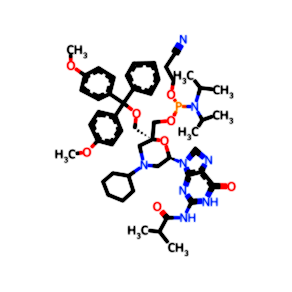 COc1ccc(C(OC[C@@]2(COP(OCCC#N)N(C(C)C)C(C)C)CN(C3CCCCC3)C[C@H](n3cnc4c(=O)[nH]c(NC(=O)C(C)C)nc43)O2)(c2ccccc2)c2ccc(OC)cc2)cc1